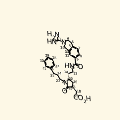 N=C(N)N1CCc2ccc(C(=O)NCC[C@@H]3C[C@@H](CC(=O)O)C(=O)N3CCCc3ccccc3)cc2C1